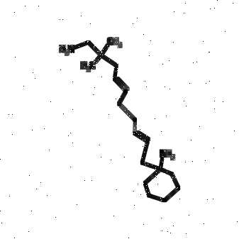 CC(C)(CN)CC=CCCC=CCC1(N)CCCCC1